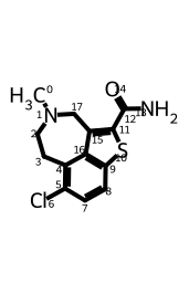 CN1CCc2c(Cl)ccc3sc(C(N)=O)c(c23)C1